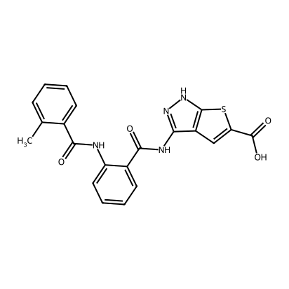 Cc1ccccc1C(=O)Nc1ccccc1C(=O)Nc1n[nH]c2sc(C(=O)O)cc12